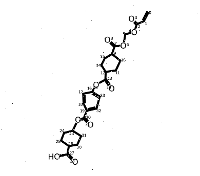 C=CC(=O)OCOC(=O)C1CCC(C(=O)Oc2ccc(C(=O)OC3CCC(C(=O)O)CC3)cc2)CC1